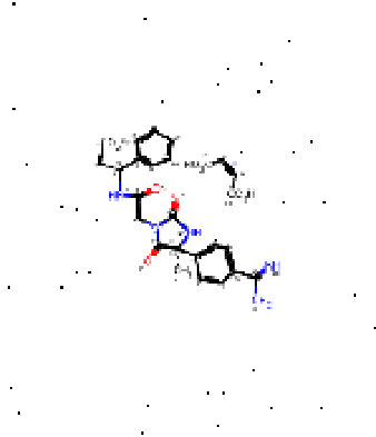 CCOC(=O)C[C@H](NC(=O)CN1C(=O)N[C@@](C)(c2ccc(C(=N)N)cc2)C1=O)c1ccccc1.O=C(O)/C=C\C(=O)O